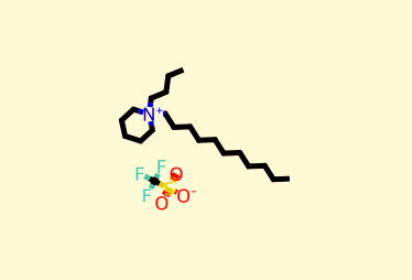 CCCCCCCCCCC[N+]1(CCCC)CCCCC1.O=S(=O)([O-])C(F)(F)F